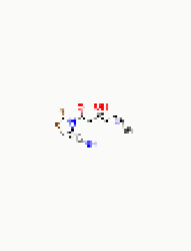 CCC/C=C\C[C@@H](O)CC(=O)N1C(=S)SC[C@H]1B=N